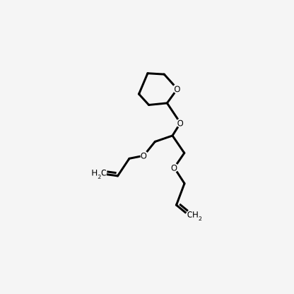 C=CCOCC(COCC=C)OC1CCCCO1